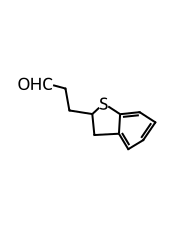 O=CCCC1Cc2ccccc2S1